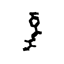 CCCCC(C)/C(C)=N/C=C(\C)c1ccc(OC)cc1